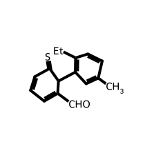 CCc1ccc(C)cc1C1C(=S)C=CC=C1C=O